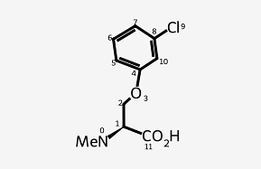 CN[C@@H](COc1cccc(Cl)c1)C(=O)O